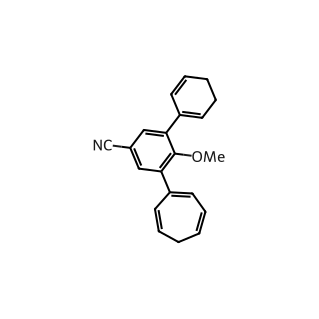 COc1c(C2=CC=CCC=C2)cc(C#N)cc1C1=CCCC=C1